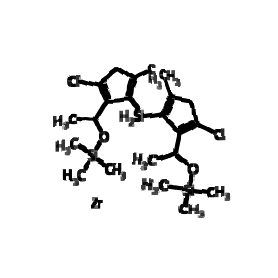 CC1=C([SiH2]C2=C(C)CC(Cl)=C2C(C)O[Si](C)(C)C)C(C(C)O[Si](C)(C)C)=C(Cl)C1.[Zr]